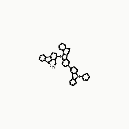 c1ccc(-n2c3ccccc3c3cc(-c4ccc5c(c4)c4ccc6ccccc6c4n5-c4ccc5c6c(cncc46)-c4ccccc4-5)ccc32)cc1